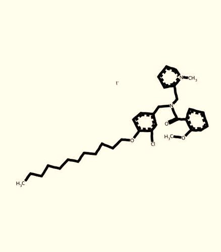 CCCCCCCCCCCCOc1ccc(CN(Cc2cccc[n+]2C)C(=O)c2ccccc2OC)cc1Cl.[I-]